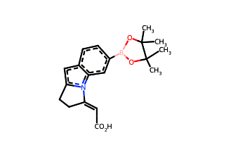 CC1(C)OB(c2ccc3cc4n(c3c2)C(=CC(=O)O)CC4)OC1(C)C